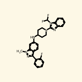 Cn1nc(-c2ccccc2F)c2ccc(NC3CCN(c4nc5ccccc5n4C(F)F)CC3)cc21